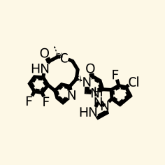 C[C@@H]1CCC[C@H](n2cnc(-c3c(N4C=CNN4)ccc(Cl)c3F)cc2=O)c2cc(ccn2)-c2c(ccc(F)c2F)NC1=O